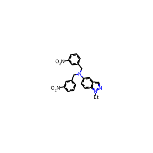 CCn1ncc2cc(N(Cc3cccc([N+](=O)[O-])c3)Cc3cccc([N+](=O)[O-])c3)ccc21